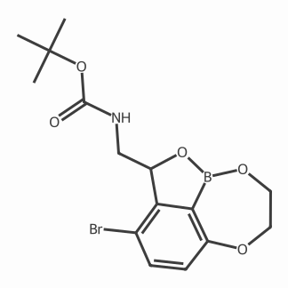 CC(C)(C)OC(=O)NCC1OB2OCCOc3ccc(Br)c1c32